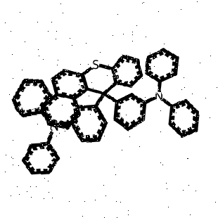 c1ccc(N(c2ccccc2)c2cccc(C3(c4cccc(N(c5ccccc5)c5ccccc5)c4)c4ccccc4Sc4ccc5ccccc5c43)c2)cc1